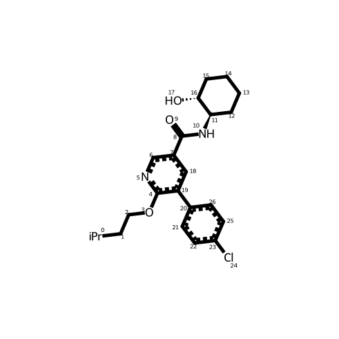 CC(C)CCOc1ncc(C(=O)N[C@@H]2CCCC[C@H]2O)cc1-c1ccc(Cl)cc1